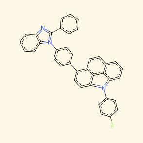 Fc1ccc(-n2c3cccc4ccc5c(-c6ccc(-n7c(-c8ccccc8)nc8ccccc87)cc6)ccc2c5c43)cc1